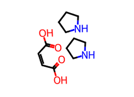 C1CCNC1.C1CCNC1.O=C(O)/C=C\C(=O)O